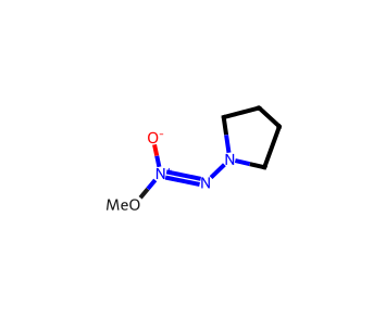 [CH2]O/[N+]([O-])=N/N1CCCC1